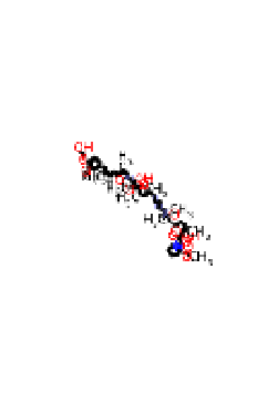 COC(=O)[C@@H]1CCCCN1C(=O)C(=O)[C@]1(O)O[C@H](C[C@H](OC)/C(C)=C/C=C/C=C/[C@@H](C)C[C@@H](C)C(=O)[C@H](OC)[C@H](O)/C(C)=C/[C@@H](C)C(=O)CC[C@@H](C)C[C@@H]2CC[C@@H](OCCO)[C@H](OC)C2)CC[C@H]1C